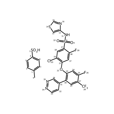 Cc1ccc(S(=O)(=O)O)cc1.O=S(=O)(Nc1cscn1)c1cc(Cl)c(Oc2cc(F)c(C(F)(F)F)cc2-c2ccnnc2)cc1F